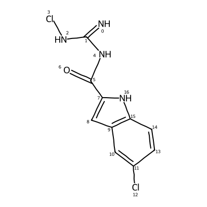 N=C(NCl)NC(=O)c1cc2cc(Cl)ccc2[nH]1